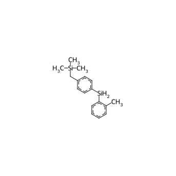 Cc1ccccc1[SiH2]c1ccc(C[Si](C)(C)C)cc1